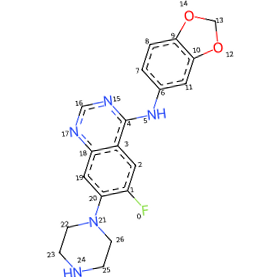 Fc1cc2c(Nc3ccc4c(c3)OCO4)ncnc2cc1N1CCNCC1